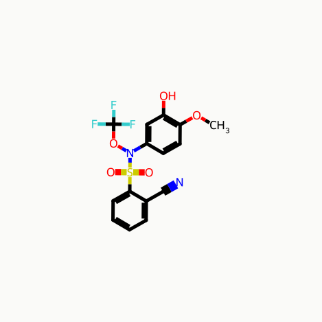 COc1ccc(N(OC(F)(F)F)S(=O)(=O)c2ccccc2C#N)cc1O